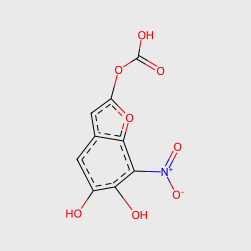 O=C(O)Oc1cc2cc(O)c(O)c([N+](=O)[O-])c2o1